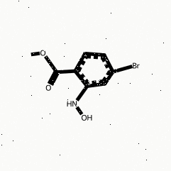 COC(=O)c1ccc(Br)cc1NO